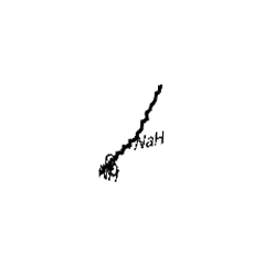 CCCCCCCCCCCCCCCCCCOC(=O)CNC.[NaH]